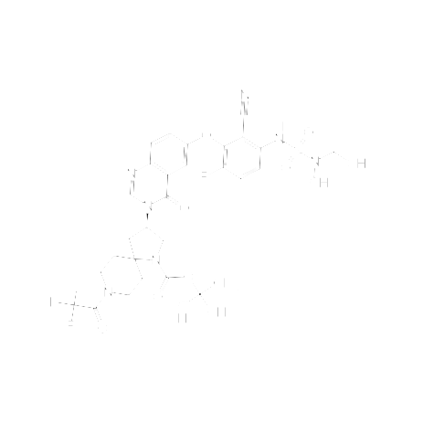 CCN(C)S(=O)(=O)Nc1ccc(F)c(Oc2ccc3ncn([C@H]4CN(C(=O)OC(C)(C)C)C5(CCN(C(=O)C(F)(F)F)CC5)C4)c(=O)c3c2)c1C#N